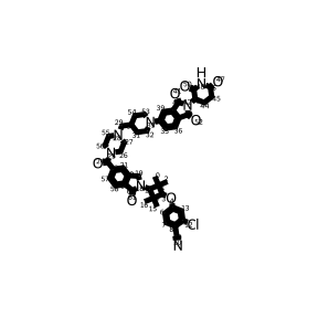 CC1(C)C(Oc2ccc(C#N)c(Cl)c2)C(C)(C)C1N1Cc2cc(C(=O)N3CCN(CC4CCN(c5ccc6c(c5)C(=O)N(C5CCC(=O)NC5=O)C6=O)CC4)CC3)ccc2C1=O